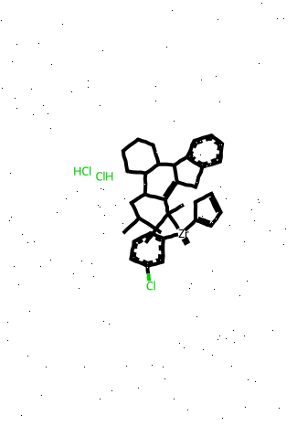 Cl.Cl.[CH2]=[Zr]([C]1=CC=CC1)([c]1cccc(Cl)c1)[C]1(C)C2=C3Cc4ccccc4C3C3CCCCC3C2CC(C)C1(C)C